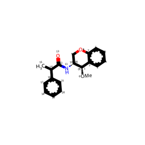 CO[C@@H]1c2ccccc2OC[C@H]1NC(=O)C(C)c1ccccc1